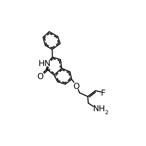 NCC(=CF)COc1ccc2c(=O)[nH]c(-c3ccccc3)cc2c1